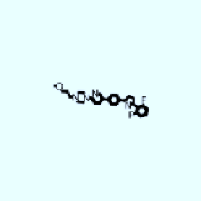 COCCCN1CCN(c2ccc(-c3ccc(C4CCC(c5c(F)cccc5F)=N4)cc3)cn2)CC1